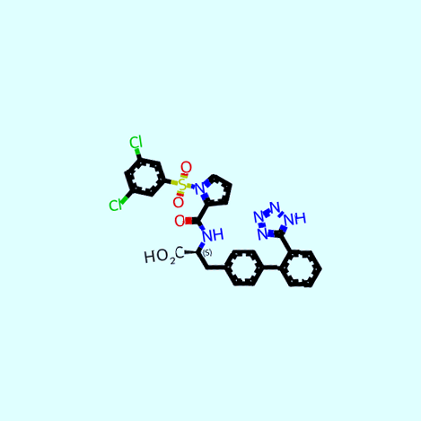 O=C(N[C@@H](Cc1ccc(-c2ccccc2-c2nnn[nH]2)cc1)C(=O)O)c1cccn1S(=O)(=O)c1cc(Cl)cc(Cl)c1